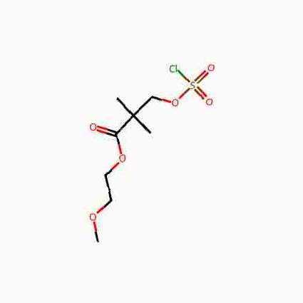 COCCOC(=O)C(C)(C)COS(=O)(=O)Cl